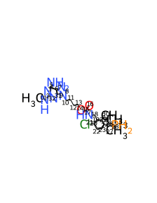 CNc1nc(N)c2ncn(CCCCOC(=O)NCc3c(Cl)ccc(C(C)(C)P)c3C)c2n1